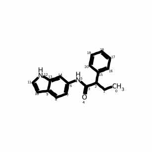 CCC(C(=O)Nc1ccc2cc[nH]c2c1)c1ccccc1